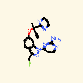 C#CC(C)(Oc1ccc2c(CF)nn(-c3ccnc(N)n3)c2c1)c1ncccn1